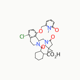 Cn1c(COc2ccc(Cl)c3c2C(CN2CC4(CC4)CC2=O)N(C(=O)C2CCCCC2C(=O)O)CC3)cccc1=O